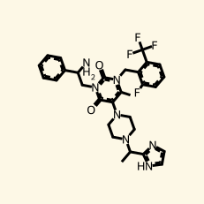 Cc1c(N2CCN(C(C)c3ncc[nH]3)CC2)c(=O)n(CC(N)c2ccccc2)c(=O)n1Cc1c(F)cccc1C(F)(F)F